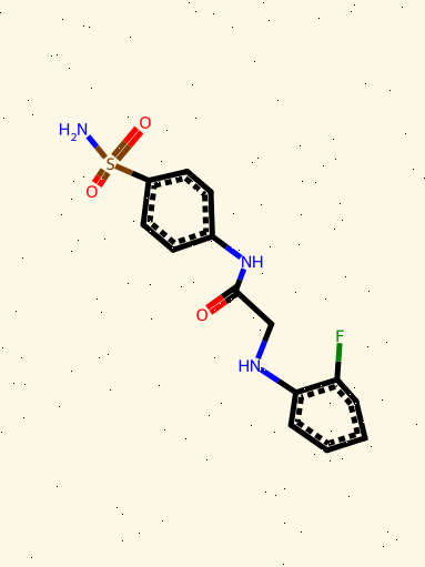 NS(=O)(=O)c1ccc(NC(=O)CNc2ccccc2F)cc1